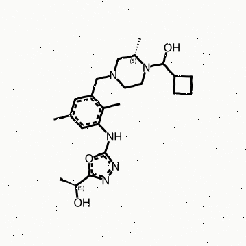 Cc1cc(CN2CCN(C(O)C3CCC3)[C@@H](C)C2)c(C)c(Nc2nnc([C@H](C)O)o2)c1